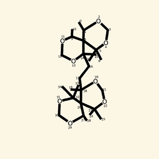 CC1OCOC(C)(C)C12C(C)OCOC2(C)CCC1(C)OCOC(C)(C)C12C(C)OCOC2(C)C